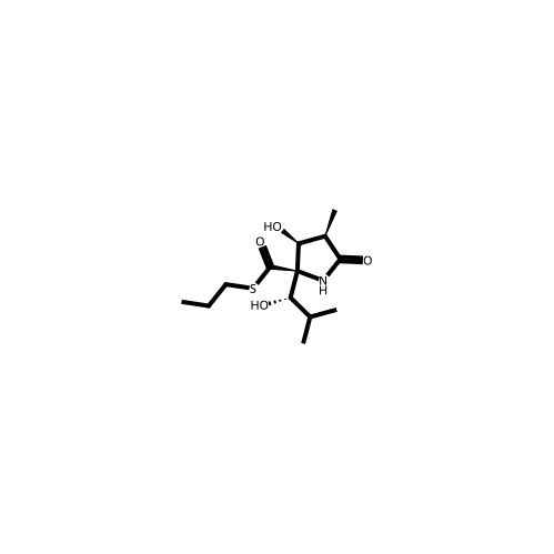 CCCSC(=O)[C@]1([C@@H](O)C(C)C)NC(=O)[C@H](C)[C@@H]1O